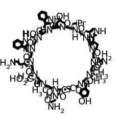 CC(C)C[C@@H]1NC(=O)[C@H](Cc2c[nH]cn2)NC(=O)[C@@H]2CCCN2C(=O)[C@H](CC(N)=O)NC(=O)[C@H](C)N(C)C(O)[C@H](Cc2ccc(O)cc2)NC(=O)CSC[C@@H](C(=O)NCC(N)=O)NC(=O)[C@H](C)NC(=O)[C@H](CC(=O)O)N(C)C(=O)[C@H](CCCCN)N(C)C(=O)[C@H](Cc2c[nH]c3ccccc23)NC(=O)[C@H](CO)NC(=O)[C@H](Cc2c[nH]c3ccccc23)NC(=O)[C@@H]2C[C@@H](O)CN2C1=O